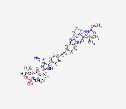 COC(=O)N[C@H](C(=O)N1CCC[C@H]1c1nc2cc(C#Cc3ccc(-c4[nH]c([C@@H]5CCCN5C(=O)[C@H](C(C)C)N(C)C(=O)O)nc4CC#N)cc3)ccc2[nH]1)C(C)C